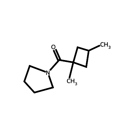 CC1CC(C)(C(=O)N2CCCC2)C1